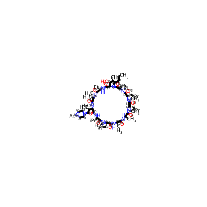 C/C=C/C[C@@H](C)[C@@H](O)[C@H]1C(=O)N[C@@H](CC)C(=O)N(C)[C@H](C)C(=O)N(C)[C@@H]([C@H](C)CN2CCN(C(C)=O)CC2)C(=O)NC(C(C)C)C(=O)N(C)[C@@H](CC(C)C)C(=O)N[C@@H](C)C(=O)N[C@H](C)C(=O)N(C)[C@@H](CC(C)C)C(=O)N(C)[C@@H](CC(C)C)C(=O)N(C)C(C(C)C)C(=O)N1C